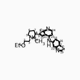 CCOCCN1CCC[C@@H](c2cc3c(Nc4ccc5scnc5c4)ccnc3s2)[C@@H]1C